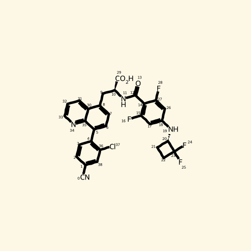 N#Cc1ccc(-c2ccc(C[C@H](NC(=O)c3c(F)cc(N[C@H]4CCC4(F)F)cc3F)C(=O)O)c3cccnc23)c(Cl)c1